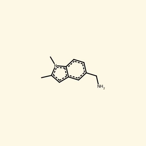 Cc1cc2cc(CN)ccc2n1C